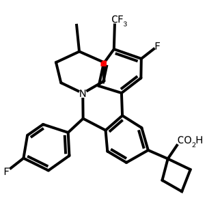 CC1CCN(C(c2ccc(F)cc2)c2ccc(C3(C(=O)O)CCC3)cc2-c2ccc(C(F)(F)F)c(F)c2)CC1